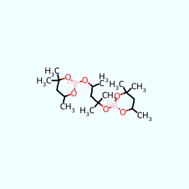 CC1CC(C)(C)O[10B](OC(C)CC(C)(C)O[10B]2OC(C)CC(C)(C)O2)O1